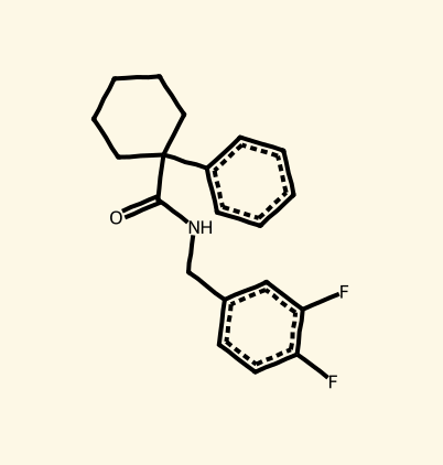 O=C(NCc1ccc(F)c(F)c1)C1(c2ccccc2)CCCCC1